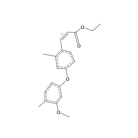 CCOC(=O)/C=C\c1ccc(Oc2ccc(C)c(OC)c2)cc1C